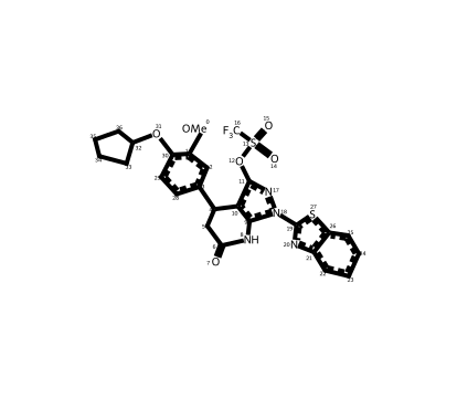 COc1cc(C2CC(=O)Nc3c2c(OS(=O)(=O)C(F)(F)F)nn3-c2nc3ccccc3s2)ccc1OC1CCCC1